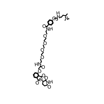 CC(CCNSOc1ccc(C(=O)NCCOCCOCCOCCOCCNC(=O)COc2cccc3c2C(=O)N(C2CCC(=O)NC2=O)C3=O)cc1)N(C)C